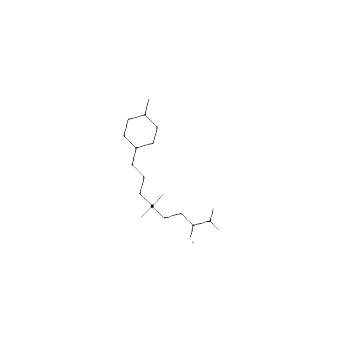 CCC(O)C(O)CCC(C)(C)CC[C@H](C)C1CCC(C)CC1